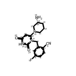 N#Cc1ccc(F)cc1Cn1c(N2CCC[C@@H](N)C2)cc(=O)[nH]c1=O